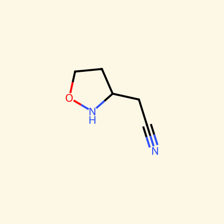 N#CCC1CCON1